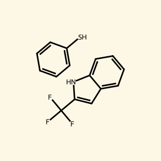 FC(F)(F)c1cc2ccccc2[nH]1.Sc1ccccc1